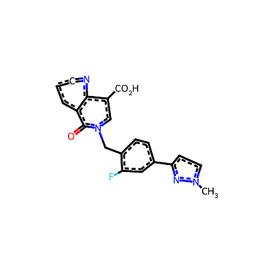 Cn1ccc(-c2ccc(Cn3cc(C(=O)O)c4ncccc4c3=O)c(F)c2)n1